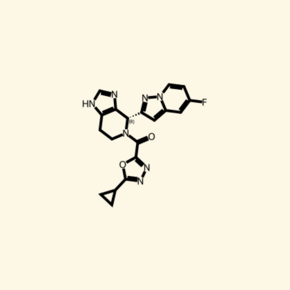 O=C(c1nnc(C2CC2)o1)N1CCc2[nH]cnc2[C@@H]1c1cc2cc(F)ccn2n1